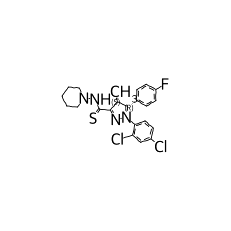 C[C@@H]1C(C(=S)NN2CCCCC2)=NN(c2ccc(Cl)cc2Cl)[C@H]1c1ccc(F)cc1